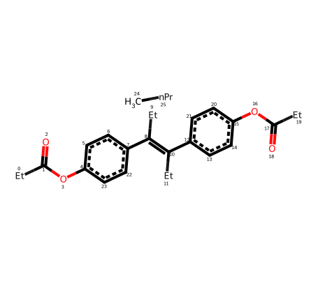 CCC(=O)Oc1ccc(/C(CC)=C(\CC)c2ccc(OC(=O)CC)cc2)cc1.CCCC